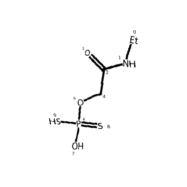 CCNC(=O)COP(O)(=S)S